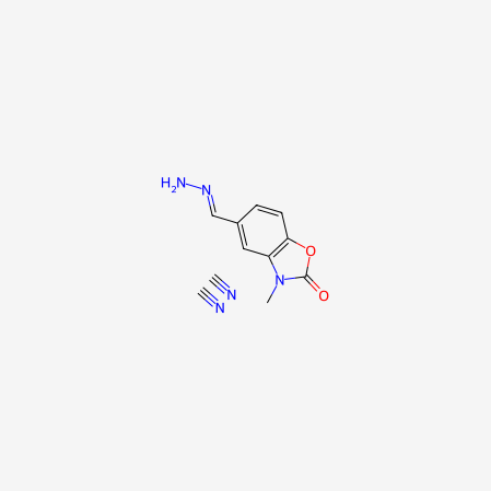 C#N.C#N.Cn1c(=O)oc2ccc(C=NN)cc21